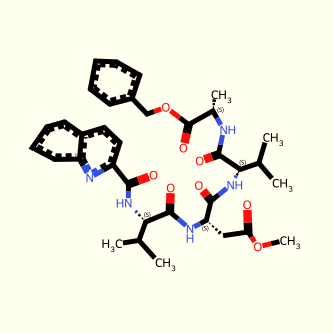 COC(=O)C[C@H](NC(=O)[C@@H](NC(=O)c1ccc2ccccc2n1)C(C)C)C(=O)N[C@H](C(=O)N[C@@H](C)C(=O)OCc1ccccc1)C(C)C